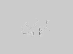 FC(F)NC(=S)c1ncc[nH]1